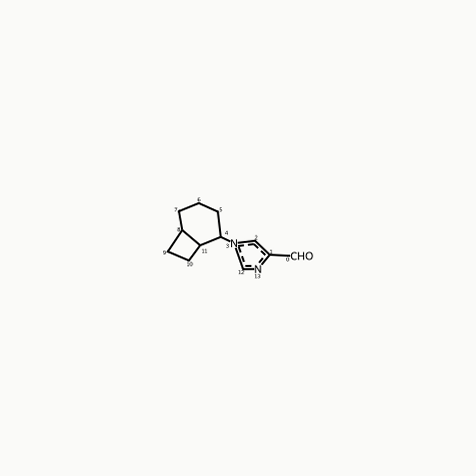 O=Cc1cn(C2CCCC3CCC32)cn1